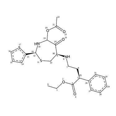 CCOC(=O)[C@@H](CCN[C@H]1CS[C@@H](c2cccs2)NC(OC(C)=O)C1=O)c1ccccc1